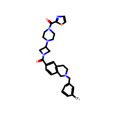 O=C(c1ccc2c(c1)CCN(Cc1cccc(C(F)(F)F)c1)C2)N1CC(N2CCN(C(=O)c3nccs3)CC2)C1